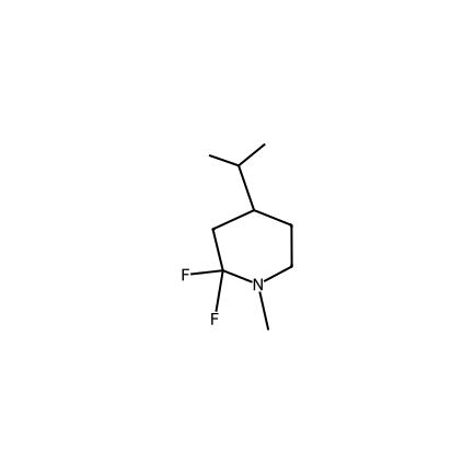 CC(C)C1CCN(C)C(F)(F)C1